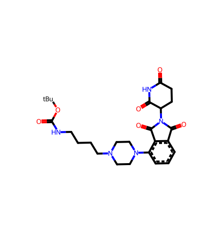 CC(C)(C)OC(=O)NCCCCN1CCN(c2cccc3c2C(=O)N(C2CCC(=O)NC2=O)C3=O)CC1